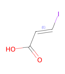 O=C(O)/C=C/I